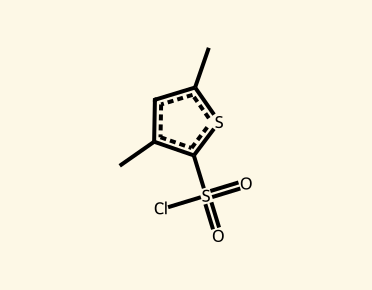 Cc1cc(C)c(S(=O)(=O)Cl)s1